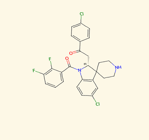 O=C(C[C@H]1N(C(=O)c2cccc(F)c2F)c2ccc(Cl)cc2C12CCNCC2)c1ccc(Cl)cc1